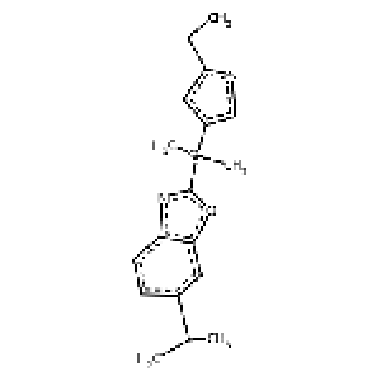 CCc1cc([Si](C)(C)c2nc3ccc(C(C)C)cc3o2)cs1